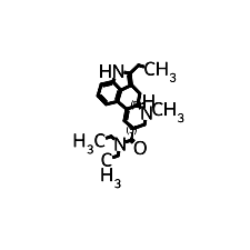 CCc1[nH]c2cccc3c2c1C[C@@H]1C3=C[C@H](C(=O)N(CC)CC)CN1C